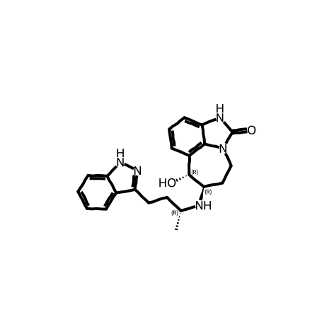 C[C@H](CCc1n[nH]c2ccccc12)N[C@@H]1CCn2c(=O)[nH]c3cccc(c32)[C@H]1O